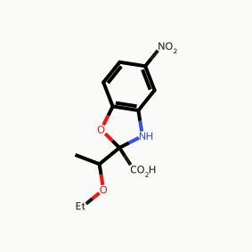 CCOC(C)C1(C(=O)O)Nc2cc([N+](=O)[O-])ccc2O1